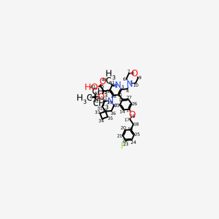 Cc1nc(CN2CCOCC2)c(-c2ccc(OCCc3ccc(F)cc3)cc2)c(N2CCC3(CCC3)CC2)c1C(OC(C)(C)C)C(=O)O